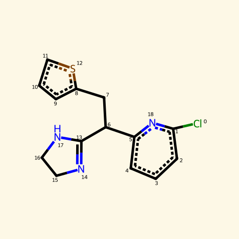 Clc1cccc(C(Cc2cccs2)C2=NCCN2)n1